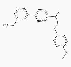 COc1ccc(COC(C)c2ccc(-c3cccc(CO)c3)nc2)cc1